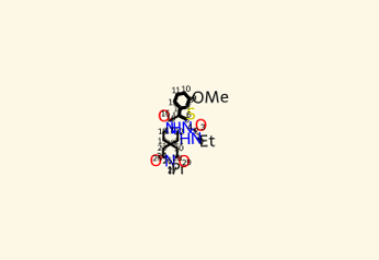 CCNC(=O)Nc1sc2c(OC)cccc2c1C(=O)N1CCC2(CC1)CC(=O)N(C(C)C)C(=O)C2